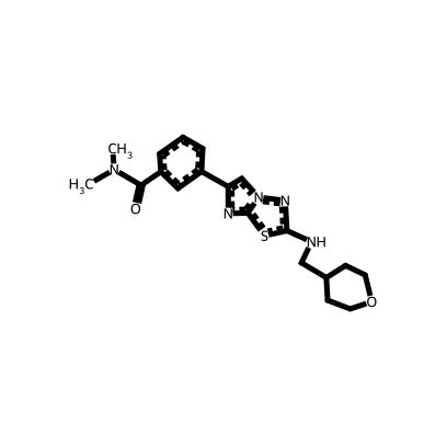 CN(C)C(=O)c1cccc(-c2cn3nc(NCC4CCOCC4)sc3n2)c1